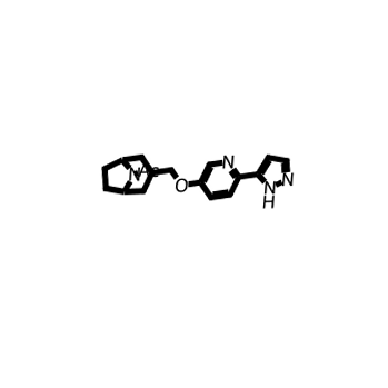 CC(=O)N1C2CCC1CC(COc1ccc(-c3ccn[nH]3)nc1)C2